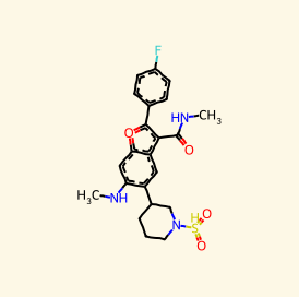 CNC(=O)c1c(-c2ccc(F)cc2)oc2cc(NC)c(C3CCCN([SH](=O)=O)C3)cc12